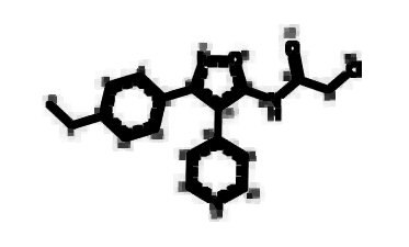 CCc1ccc(-c2noc(NC(=O)CCl)c2-c2ccncc2)cc1